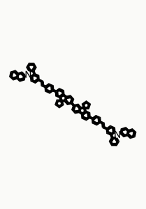 C(=C\c1ccc2c(c1)c1ccccc1n2-c1ccc2ccccc2c1)/c1ccc(-c2ccc3c(c2)C2(CCCC2)c2cc(-c4ccc5c(c4)C4(CCCC4)c4cc(-c6ccc(/C=C/c7ccc8c(c7)c7ccccc7n8-c7ccc8ccccc8c7)cc6)ccc4-5)ccc2-3)cc1